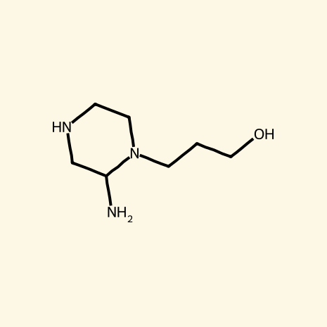 NC1CNCCN1CCCO